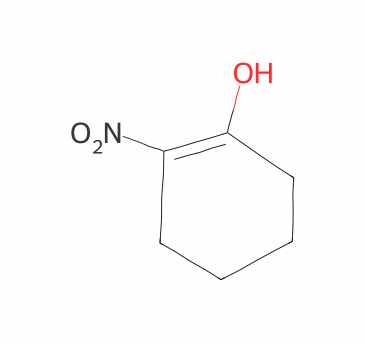 O=[N+]([O-])C1=C(O)CCCC1